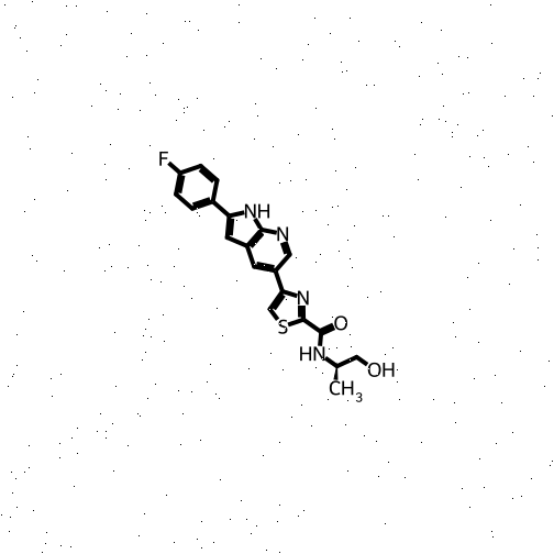 C[C@H](CO)NC(=O)c1nc(-c2cnc3[nH]c(-c4ccc(F)cc4)cc3c2)cs1